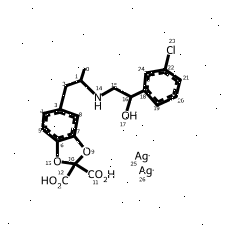 CC(Cc1ccc2c(c1)OC(C(=O)O)(C(=O)O)O2)NCC(O)c1cccc(Cl)c1.[Ag].[Ag]